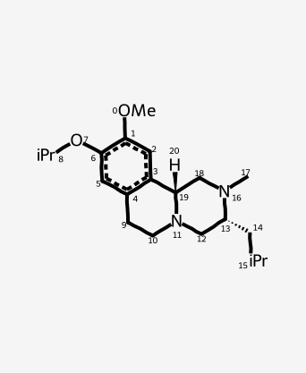 COc1cc2c(cc1OC(C)C)CCN1C[C@@H](CC(C)C)N(C)C[C@@H]21